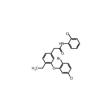 CCc1ccc(CC(=O)Nc2ccccc2Cl)cc1Oc1cc(Cl)ccc1Br